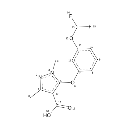 Cc1nn(C)c(Oc2cccc(OC(F)F)c2)c1C(=O)O